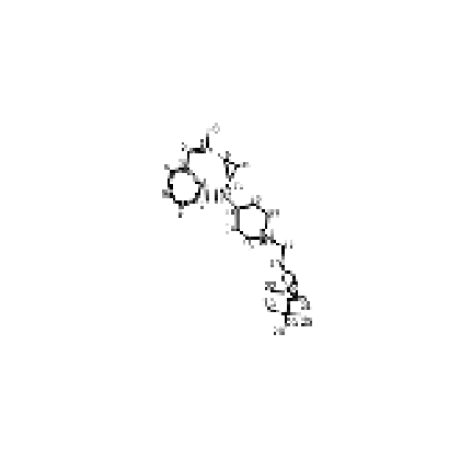 CC(=Cc1ccccc1)[C@@H]1C[C@H]1NC1CCN(CCO[Si](C)(C)C(C)(C)C)CC1